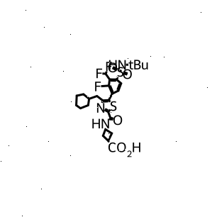 CC(C)(C)NS(=O)(=O)c1ccc(-c2sc(C(=O)N[C@H]3C[C@H](C(=O)O)C3)nc2CC2CCCCC2)c(F)c1C(F)F